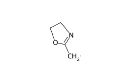 [CH2]C1=NCCO1